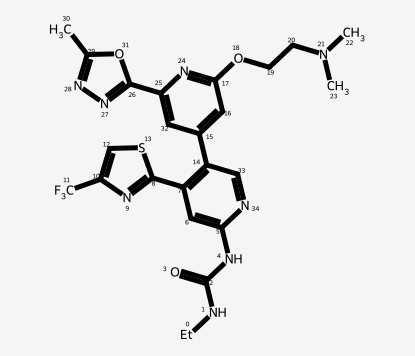 CCNC(=O)Nc1cc(-c2nc(C(F)(F)F)cs2)c(-c2cc(OCCN(C)C)nc(-c3nnc(C)o3)c2)cn1